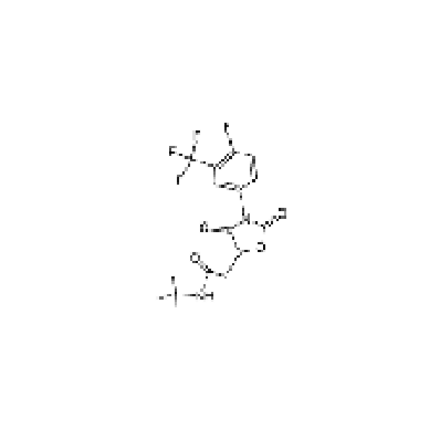 CC(C)(C)NC(=O)CC1OC(=O)N(c2ccc(F)c(C(F)(F)F)c2)C1=O